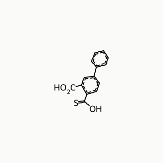 O=C(O)c1cc(-c2ccccc2)ccc1C(O)=S